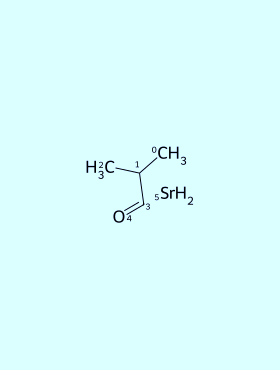 CC(C)C=O.[SrH2]